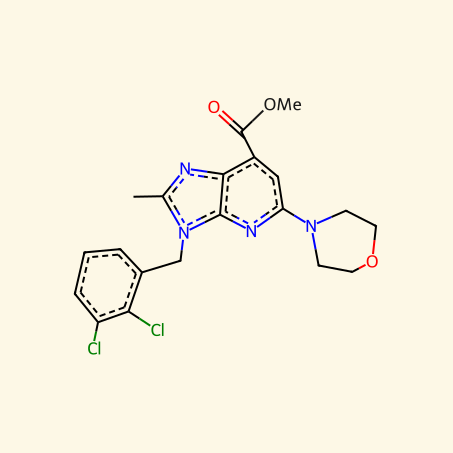 COC(=O)c1cc(N2CCOCC2)nc2c1nc(C)n2Cc1cccc(Cl)c1Cl